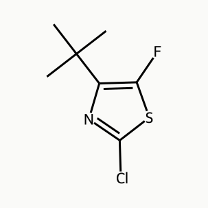 CC(C)(C)c1nc(Cl)sc1F